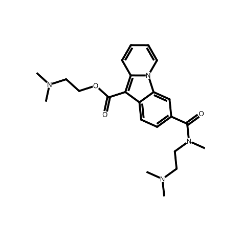 CN(C)CCOC(=O)c1c2ccc(C(=O)N(C)CCN(C)C)cc2n2ccccc12